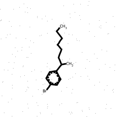 [CH2]C(CCCCCC)c1ccc(Br)cc1